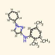 Cc1[c]c(C)c(C)c(Nc2ccn(-c3ccccc3)n2)c1